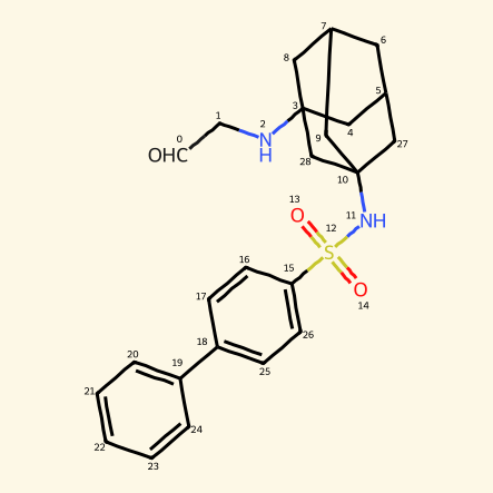 O=CCNC12CC3CC(C1)CC(NS(=O)(=O)c1ccc(-c4ccccc4)cc1)(C3)C2